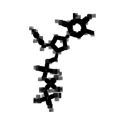 BP(=O)(OC[C@H]1O[C@@H](n2cc(C)c(=O)[nH]c2=O)C[C@H]1N=[N+]=[N-])OP(=O)(O)NP(=O)(O)O